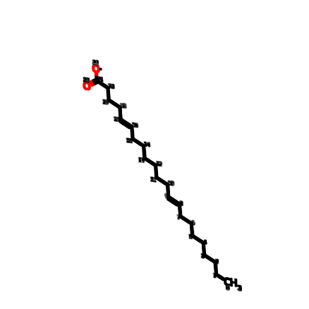 CCCCCCCCC=CCCCCCCC=CCCCC([O])=O